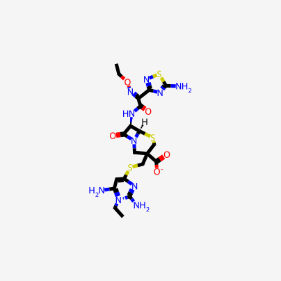 CCON=C(C(=O)N[C@@H]1C(=O)N2CC(CSc3cc(N)[n+](CC)c(N)n3)(C(=O)[O-])CS[C@H]12)c1nsc(N)n1